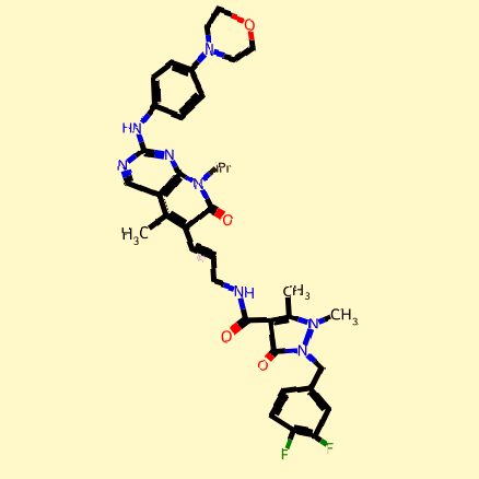 Cc1c(/C=C/CNC(=O)c2c(C)n(C)n(Cc3ccc(F)c(F)c3)c2=O)c(=O)n(C(C)C)c2nc(Nc3ccc(N4CCOCC4)cc3)ncc12